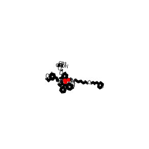 NC(=O)C(c1ccccc1)(c1ccccc1)C1CC[N+](CCc2ccc3c(c2)CCO3)(Cc2cc(C(O)CNCCCCCCOCCCCc3ccccc3)ccc2OCOP(=O)(O)O)C1